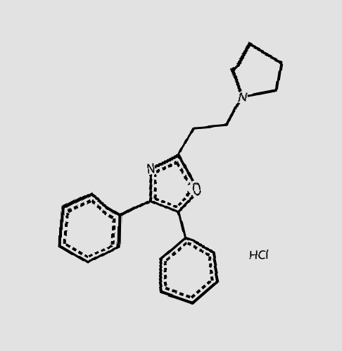 Cl.c1ccc(-c2nc(CCN3CCCC3)oc2-c2ccccc2)cc1